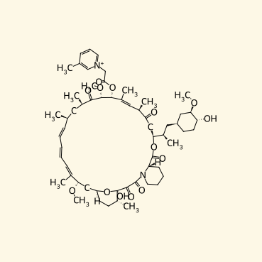 CO[C@H]1C[C@@H]2CC[C@@H](C)[C@@](O)(O2)C(=O)C(=O)N2CCCC[C@H]2C(=O)O[C@H]([C@H](C)C[C@@H]2CC[C@@H](O)[C@H](OC)C2)CC(=O)[C@H](C)/C=C(\C)[C@@H](OC(=O)C[n+]2cccc(C)c2)[C@@H](OC)C(=O)[C@H](C)C[C@H](C)/C=C/C=C/C=C/1C